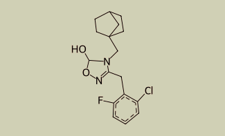 OC1ON=C(Cc2c(F)cccc2Cl)N1CC12CCC(CC1)C2